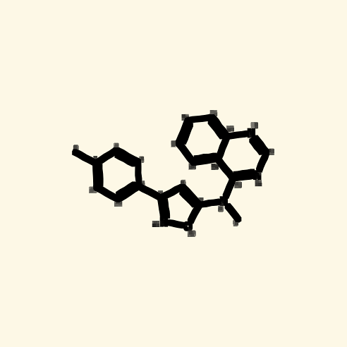 Cc1ccc(-c2cc(N(C)c3ncnc4ccccc34)on2)cc1